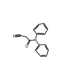 N#CCC(=O)N(c1ccccc1)c1ccccc1